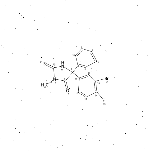 CN1C(=O)C(c2ccccc2)(c2ccc(F)c(Br)c2)NC1=S